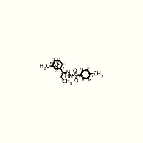 CC/C(=N\NS(=O)(=O)c1ccc(C)cc1)C1CC2C=CC1N(C)C2